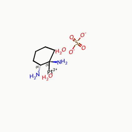 N[C@@H]1CCCC[C@]1(N)[Pt+2].O.O.O=S(=O)([O-])[O-]